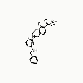 O=C(NO)c1ccc2c(c1F)CCN(c1nccc(NCc3ccccc3)n1)C2